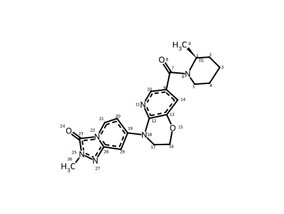 C[C@H]1CCCCN1C(=O)c1cnc2c(c1)OCCN2c1ccn2c(=O)n(C)nc2c1